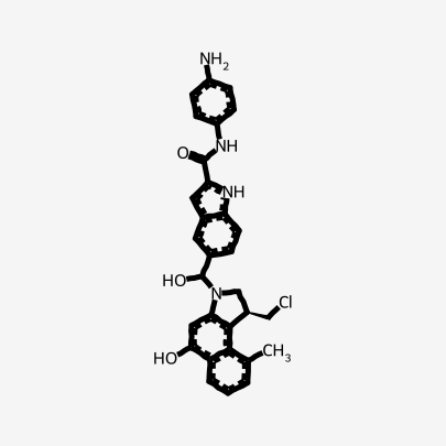 Cc1cccc2c(O)cc3c(c12)[C@H](CCl)CN3C(O)c1ccc2[nH]c(C(=O)Nc3ccc(N)cc3)cc2c1